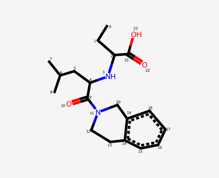 CCC(NC(CC(C)C)C(=O)N1CCc2ccccc2C1)C(=O)O